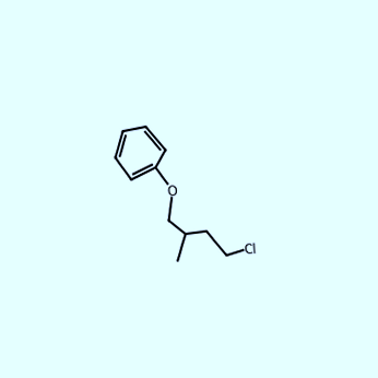 CC(CCCl)COc1ccccc1